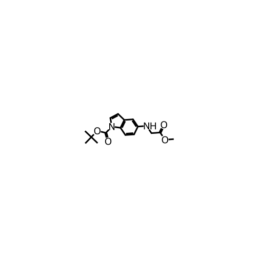 COC(=O)CNc1ccc2c(ccn2C(=O)OC(C)(C)C)c1